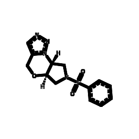 O=S(=O)(c1ccccc1)N1C[C@@H]2[C@@H](C1)OCc1cnnn12